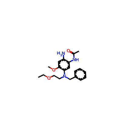 CCOCCN(Cc1ccccc1)c1cc(NC(C)=O)c(N)cc1OC